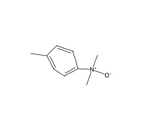 Cc1ccc([N+](C)(C)[O-])cc1